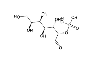 O=C[C@@H](OP(=O)(O)O)[C@@H](O)[C@@H](O)[C@H](O)[C@@H](O)CO